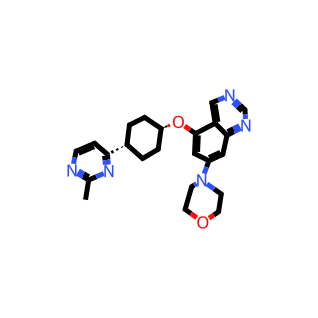 Cc1nccc([C@H]2CC[C@@H](Oc3cc(N4CCOCC4)cc4ncncc34)CC2)n1